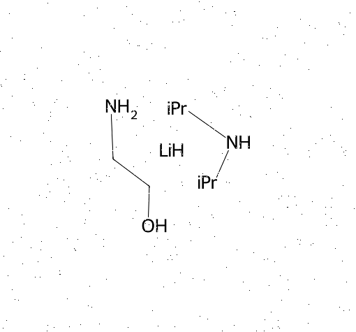 CC(C)NC(C)C.NCCO.[LiH]